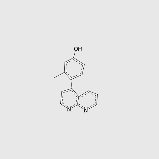 Cc1cc(O)ccc1-c1ccnc2ncccc12